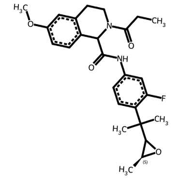 CCC(=O)N1CCc2cc(OC)ccc2C1C(=O)Nc1ccc(C(C)(C)C2O[C@H]2C)c(F)c1